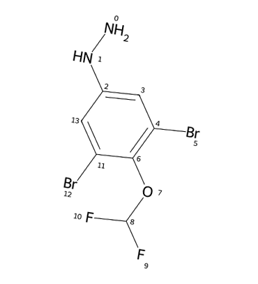 NNc1cc(Br)c(OC(F)F)c(Br)c1